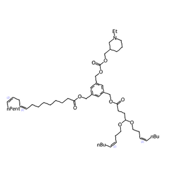 CCCC/C=C\CCOC(CCC(=O)OCc1cc(COC(=O)CCCCCCC/C=C\C/C=C\CCCCC)cc(COC(=O)OCC2CCCN(CC)C2)c1)OCC/C=C\CCCC